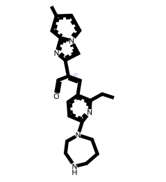 CCc1nc(N2CCCNCC2)ccc1/C=C(\C=O)c1cn2ccc(C)cc2n1